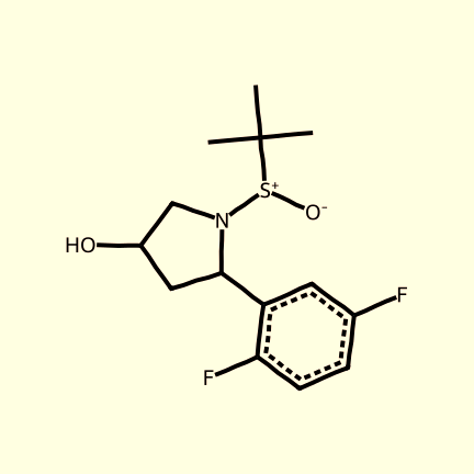 CC(C)(C)[S+]([O-])N1CC(O)CC1c1cc(F)ccc1F